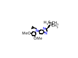 COc1cc(OC)cc(N(CC2CC2)c2ccc3ncc(C#C[Si](C)(C)C)nc3c2)c1